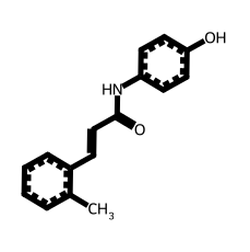 Cc1ccccc1C=CC(=O)Nc1ccc(O)cc1